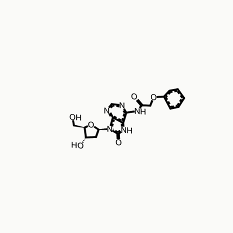 O=C(COc1ccccc1)Nc1ncnc2c1[nH]c(=O)n2[C@H]1C[C@H](O)[C@@H](CO)O1